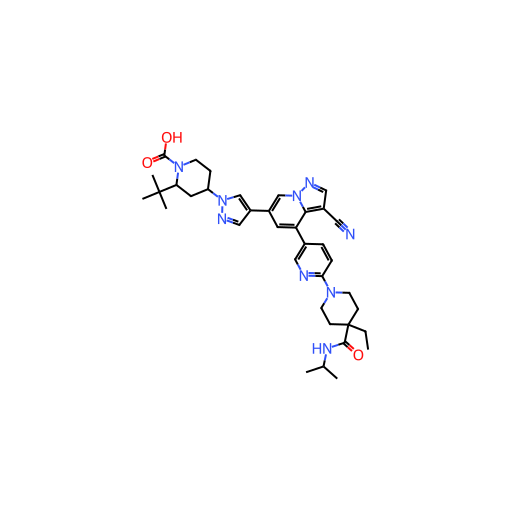 CCC1(C(=O)NC(C)C)CCN(c2ccc(-c3cc(-c4cnn(C5CCN(C(=O)O)C(C(C)(C)C)C5)c4)cn4ncc(C#N)c34)cn2)CC1